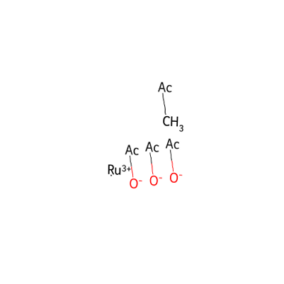 CC(=O)[O-].CC(=O)[O-].CC(=O)[O-].CC(C)=O.[Ru+3]